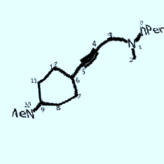 CCCCCN(C)CC#CC1CCC(NC)CC1